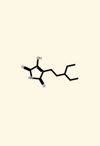 CCC(CC)CCC1=C(O)C(=O)NC1=O